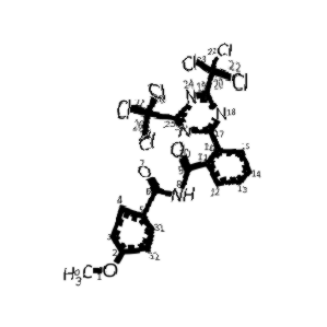 COc1ccc(C(=O)NC(=O)c2ccccc2-c2nc(C(Cl)(Cl)Cl)nc(C(Cl)(Cl)Cl)n2)cc1